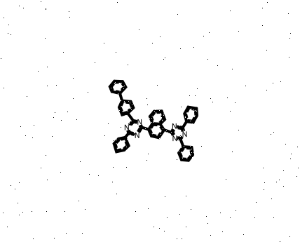 c1ccc(-c2ccc(-c3nc(-c4ccccc4)nc(-c4ccc(-c5nc(-c6ccccc6)nc(-c6ccccc6)n5)c5ccccc45)n3)cc2)cc1